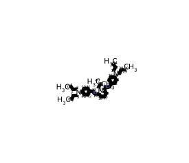 CCCCN(CCCC)c1ccc(/C=C/c2cccc(/C=C/c3ccc(N(CCCC)CCCC)cc3)[n+]2CC(C)C)cc1